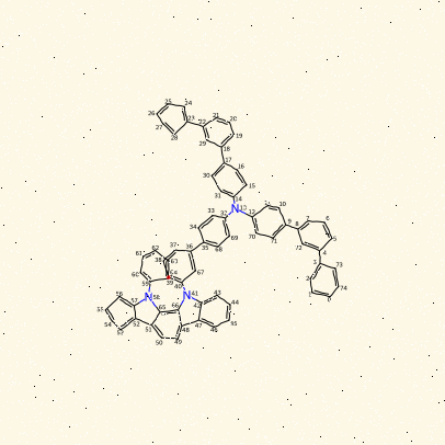 c1ccc(-c2cccc(-c3ccc(N(c4ccc(-c5cccc(-c6ccccc6)c5)cc4)c4ccc(-c5cccc(-n6c7ccccc7c7ccc8c9ccccc9n(-c9ccccc9)c8c76)c5)cc4)cc3)c2)cc1